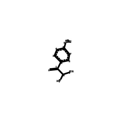 C=C(c1ccc(C(C)(C)C)cc1)C(F)F